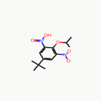 CC(C)Oc1c([N+](=O)[O-])cc(C(C)(C)C)cc1[N+](=O)O